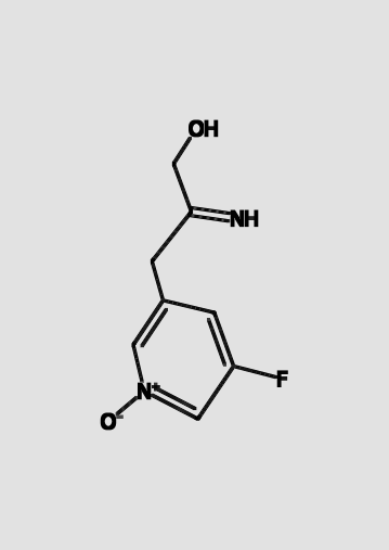 N=C(CO)Cc1cc(F)c[n+]([O-])c1